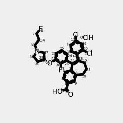 Cl.O=C(O)c1ccc2c(c1)CCCC(c1ccc(Cl)cc1Cl)=C2c1cccc(O[C@@H]2CCN(CCCF)C2)c1F